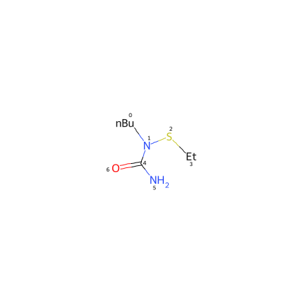 CCCCN(SCC)C(N)=O